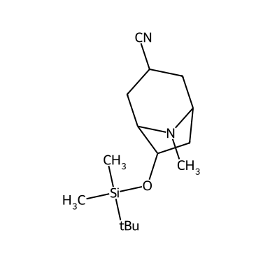 CN1C2CC(C#N)CC1C(O[Si](C)(C)C(C)(C)C)C2